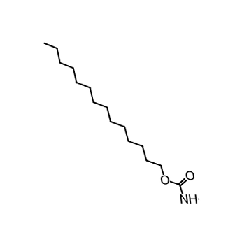 CCCCCCCCCCCCCCOC([NH])=O